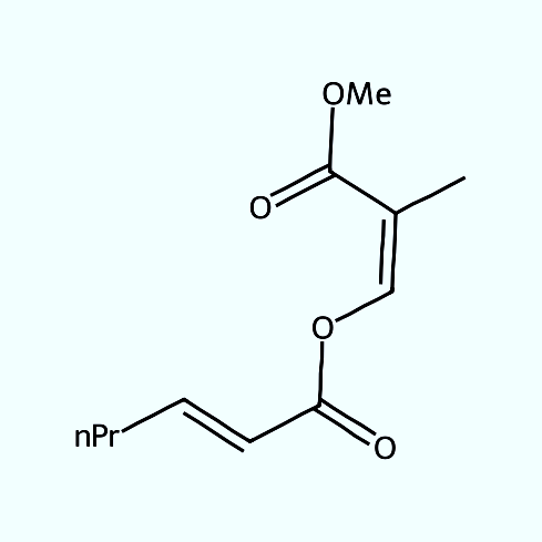 CCCC=CC(=O)OC=C(C)C(=O)OC